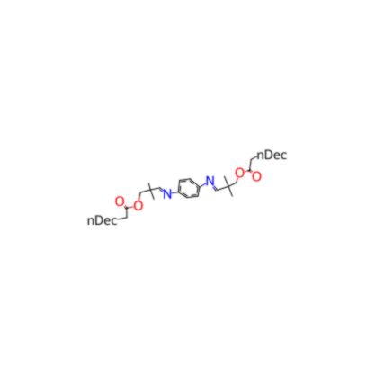 CCCCCCCCCCCC(=O)OCC(C)(C)C=Nc1ccc(N=CC(C)(C)COC(=O)CCCCCCCCCCC)cc1